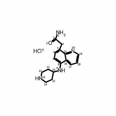 Cl.NC(=O)Cc1ccc(NC2CCNCC2)c2cccnc12